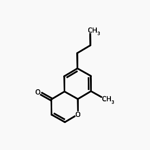 CCCC1=CC2C(=O)C=COC2C(C)=C1